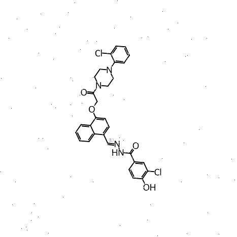 O=C(N/N=C/c1ccc(OCC(=O)N2CCN(c3ccccc3Cl)CC2)c2ccccc12)c1ccc(O)c(Cl)c1